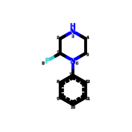 FC1CNCCN1c1c[c]ccc1